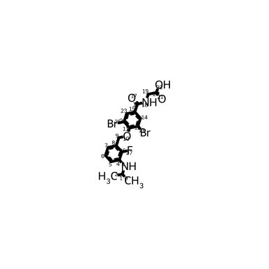 CC(C)Nc1cccc(COc2c(Br)cc(C(=O)NCC(=O)O)cc2Br)c1F